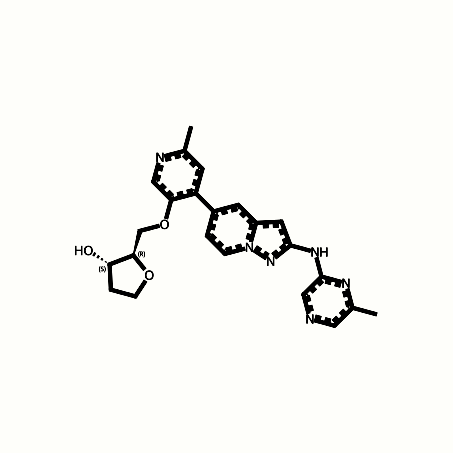 Cc1cc(-c2ccn3nc(Nc4cncc(C)n4)cc3c2)c(OC[C@H]2OCC[C@@H]2O)cn1